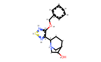 OC1CN2CC1CCC2c1nsnc1OCc1ccccc1